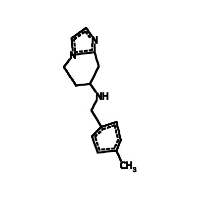 Cc1ccc(CNC2CCn3ccnc3C2)cc1